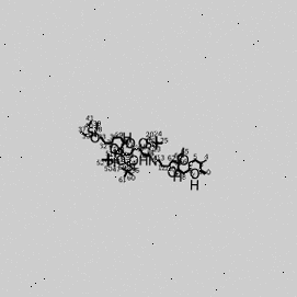 C=C(O)[C@H](C)CC1CC[C@@H]2O[C@@H](CCN/C=C/C(O[Si](C)(C)C(C)(C)C)[C@@H]3O[C@H]4CCC(CCO[Si](CC)(CC)CC)O[C@@H]4C(O[Si](C)(C)C(C)(C)C)C3O[Si](C)(C)C(C)(C)C)CC2(CI)O1